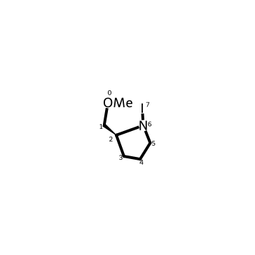 COC[C@@H]1CCCN1I